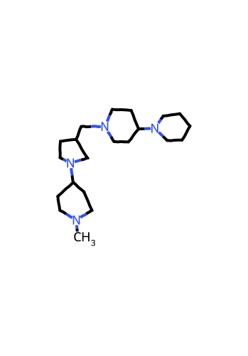 CN1CCC(N2CCC(CN3CCC(N4CCCCC4)CC3)C2)CC1